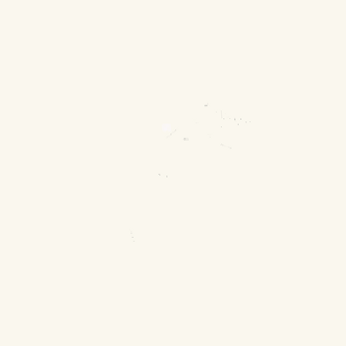 C=CCCCCC(=O)OC/C(C)=C\[C@@H](C)[C@H](O[Si](C)(C)C(C)(C)C)[C@H](C=C)OC